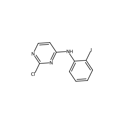 Clc1nccc(Nc2ccccc2I)n1